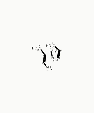 C=CC(=O)O.CCOC(N)=O.NC=CC(=O)O